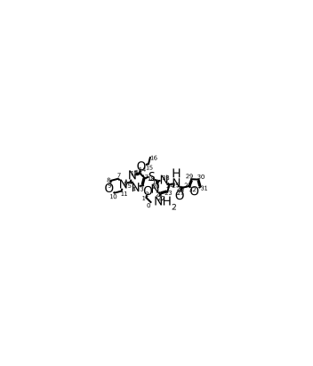 CCOc1nc(N2CCOCC2)nc(OCC)c1Sc1nc(N)cc(NC(=O)c2ccco2)n1